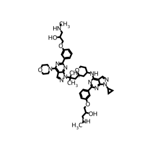 CNCC(O)COc1cccc(-c2nc(NC3CCOC(CC(C)(C)n4ncc5c(N6CCOCC6)nc(-c6cccc(OCC(O)CNC)c6)nc54)C3)c3cnn(C4CC4)c3n2)c1